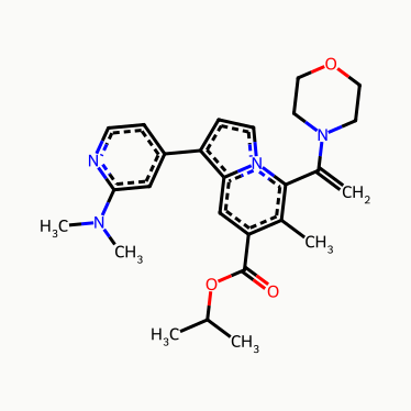 C=C(c1c(C)c(C(=O)OC(C)C)cc2c(-c3ccnc(N(C)C)c3)ccn12)N1CCOCC1